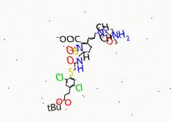 CC(C)(C)OC(=O)C=Cc1cc(Cl)c(SCC(=O)N[C@H]2[C@H]3CCC(C=CC[N+](C)(C)CC(N)=O)=C(C(=O)[O-])N3[S+]2[O-])cc1Cl